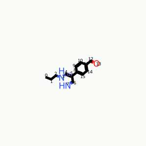 CCCN/C=C(\C=N)c1ccc(C=O)cc1